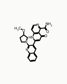 COC1CCN(c2nc3ccccc3cc2-c2cc(=O)c3c(C(N)=O)nccc3[nH]2)C1